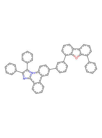 c1ccc(-c2nc3c4ccccc4c4cc(-c5cccc(-c6cccc7c6oc6c(-c8ccccc8)cccc67)c5)ccc4n3c2-c2ccccc2)cc1